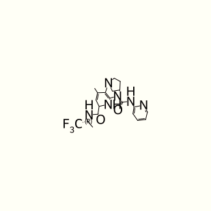 CC1=CC(C(=O)N[C@H](C)C(F)(F)F)NC2=C1N1CCC(C1)N2C(=O)Nc1ccccn1